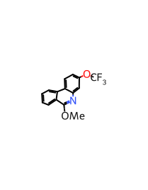 COc1nc2cc(OC(F)(F)F)ccc2c2ccccc12